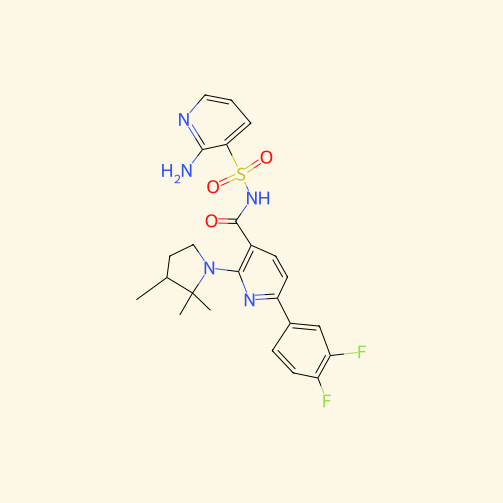 CC1CCN(c2nc(-c3ccc(F)c(F)c3)ccc2C(=O)NS(=O)(=O)c2cccnc2N)C1(C)C